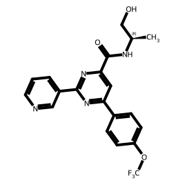 C[C@H](CO)NC(=O)c1cc(-c2ccc(OC(F)(F)F)cc2)nc(-c2cccnc2)n1